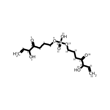 C=CC(O)C(=O)CCCOP(=O)(O)OCCCC(=O)C(O)C=C